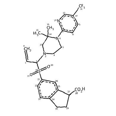 C=CC(N1CCN(c2ccc(C(F)(F)F)cn2)C(C)(C)C1)S(=O)(=O)c1ccc2c(c1)C(C(=O)O)CC2